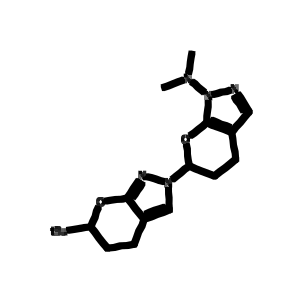 CN(C)n1ncc2c1OC(n1cc3c(n1)OC(C(C)(C)C)CC3)CC2